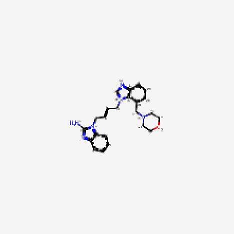 Nc1nc2ccccc2n1C/C=C/Cn1cnc2cccc(CN3CCOCC3)c21